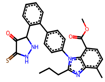 CCCc1nc2c(C)ccc(C(=O)OC)c2n1-c1ccc(-c2ccccc2C2NNC(=S)C2=O)cc1